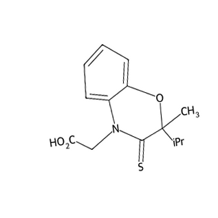 CC(C)C1(C)Oc2ccccc2N(CC(=O)O)C1=S